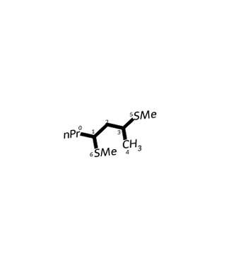 CCCC(CC(C)SC)SC